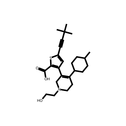 CC1CCC(C2=C(c3cc(C#CC(C)(C)C)sc3C(=O)O)CN(CCO)CC2)CC1